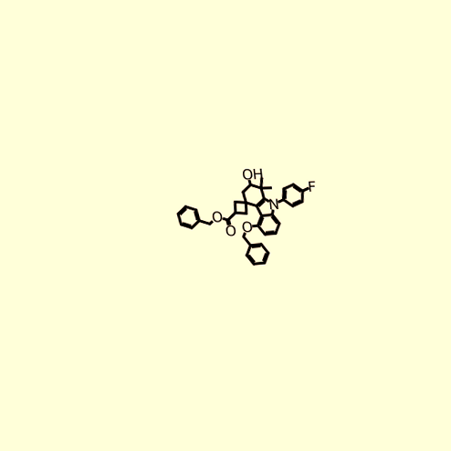 CC1(C)c2c(c3c(OCc4ccccc4)cccc3n2-c2ccc(F)cc2)C2(CC(C(=O)OCc3ccccc3)C2)CC1O